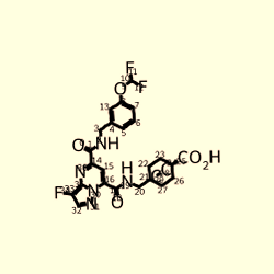 O=C(NCc1cccc(OC(F)F)c1)c1cc(C(=O)NCC23CCC(C(=O)O)(CC2)CC3)n2ncc(F)c2n1